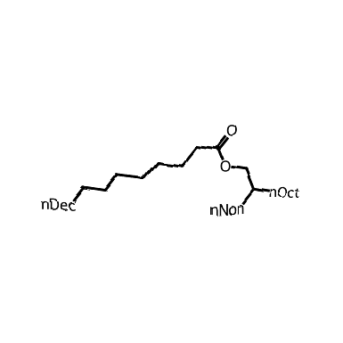 CCCCCCCCCCCCCCCCCC(=O)OCC(CCCCCCCC)CCCCCCCCC